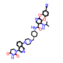 CC(C)Nc1c(C(=O)N[C@H]2CC[C@H](CN3CCN(c4cccc5c(N6CCC(=O)NC6=O)cncc45)CC3)CC2)cnc2c1Oc1ccc(C#N)cc1O2